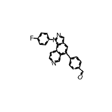 O=Cc1ccc(-c2cc3cnn(-c4ccc(F)cc4)c3c3ccncc23)cc1